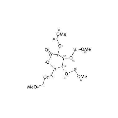 COCOCC1OC(=O)C(OCOC)[C@H](OCOC)[C@@H]1OCOC